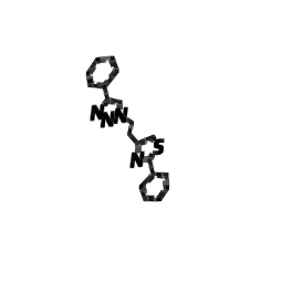 c1ccc(-c2cn(CCc3csc(-c4ccccc4)n3)nn2)cc1